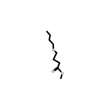 CCCCOCCCC(=O)OC